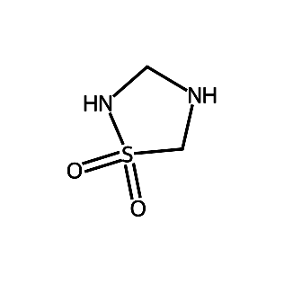 O=S1(=O)CNCN1